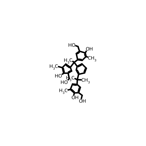 Cc1cc(C(C)(C)c2cccc(C(C)(c3cc(C)c(O)c(CO)c3)c3cc(C)c(O)c(CO)c3)c2)cc(CO)c1O